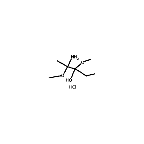 CCC(O)(OC)C(C)(N)OC.Cl